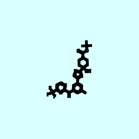 Cc1cc(Nc2nccc(C(F)(F)F)n2)cc(-c2cnc(C3(O)CCN(C(=O)OC(C)(C)C)CC3)s2)c1